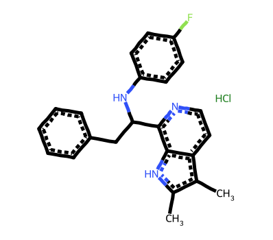 Cc1[nH]c2c(C(Cc3ccccc3)Nc3ccc(F)cc3)nccc2c1C.Cl